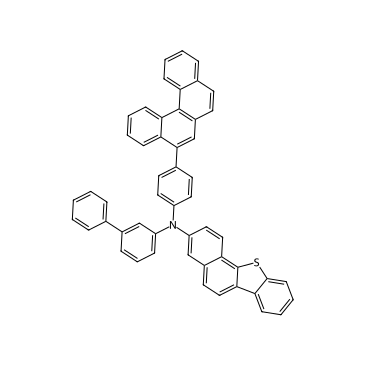 c1ccc(-c2cccc(N(c3ccc(-c4cc5ccc6ccccc6c5c5ccccc45)cc3)c3ccc4c(ccc5c6ccccc6sc45)c3)c2)cc1